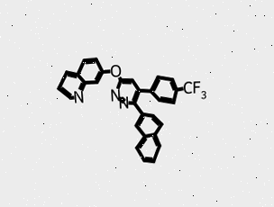 FC(F)(F)c1ccc(-c2cc(Oc3ccc4cccnc4c3)nnc2-c2ccc3ccccc3c2)cc1